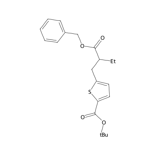 CCC(Cc1ccc(C(=O)OC(C)(C)C)s1)C(=O)OCc1ccccc1